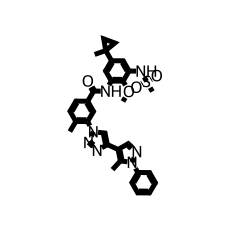 COc1c(NC(=O)c2ccc(C)c(-n3cc(-c4cnn(-c5ccccc5)c4C)nn3)c2)cc(C2(C)CC2)cc1NS(C)(=O)=O